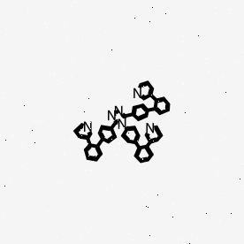 c1cncc(-c2ccccc2-c2ccc(-c3nnc(-c4ccc(-c5ccccc5-c5cccnc5)cc4)n3-c3ccc(-c4ccccc4-c4cccnc4)cc3)cc2)c1